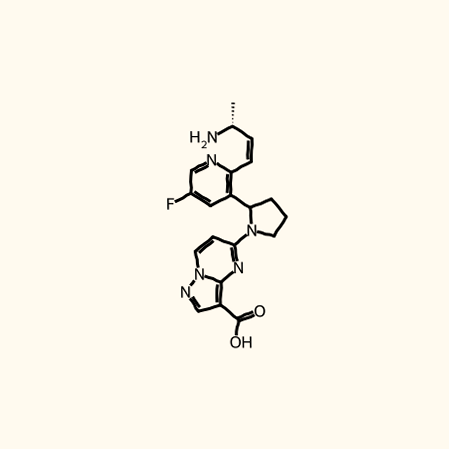 C[C@@H](N)/C=C\c1ncc(F)cc1C1CCCN1c1ccn2ncc(C(=O)O)c2n1